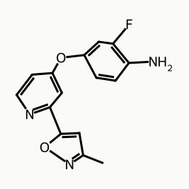 Cc1cc(-c2cc(Oc3ccc(N)c(F)c3)ccn2)on1